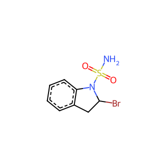 NS(=O)(=O)N1c2ccccc2CC1Br